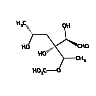 CC(OC(=O)O)[C@@](O)(C[C@@H](C)O)[C@@H](O)C=O